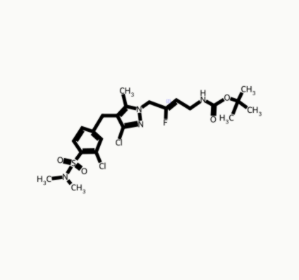 Cc1c(Cc2ccc(S(=O)(=O)N(C)C)c(Cl)c2)c(Cl)nn1C/C(F)=C/CNC(=O)OC(C)(C)C